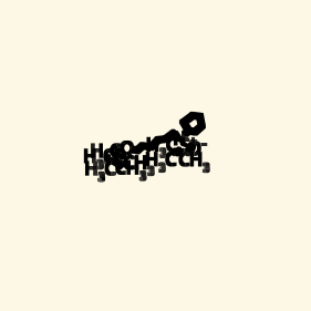 CC(C)(C)[S+]([O-])N(CCCCCCO[Si](C)(C)C(C)(C)C)C1CCCCC1